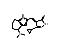 CN(C)C1CCCc2[nH]c(C=C3C(=O)NN=C3C3CC3)cc21